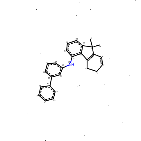 CC1(C)C2=C(CCC=C2)c2c(Nc3cccc(-c4ccccc4)c3)cccc21